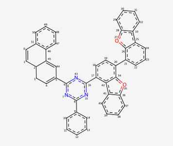 C1=CC2CC=C(c3nc(-c4ccccc4)nc(-c4ccc(-c5cccc6c5oc5ccccc56)c5oc6ccccc6c45)n3)C=C2c2ccccc21